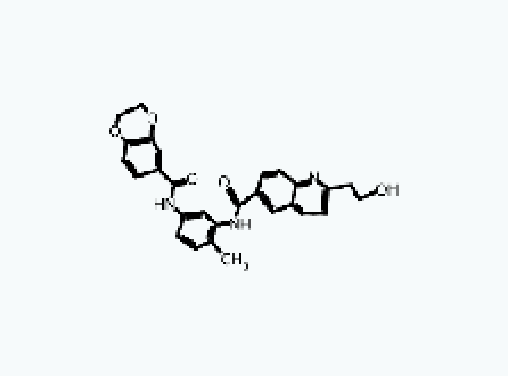 Cc1ccc(NC(=O)c2ccc3c(c2)OCCO3)cc1NC(=O)c1ccc2nc(CCO)ccc2c1